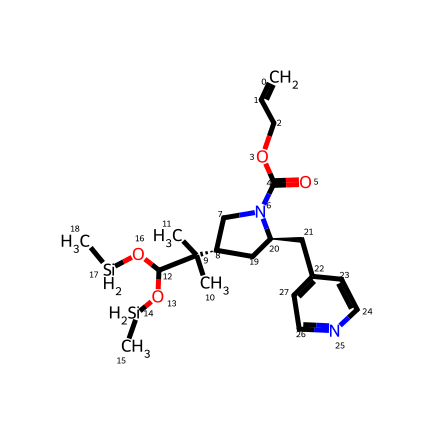 C=CCOC(=O)N1C[C@@H](C(C)(C)C(O[SiH2]C)O[SiH2]C)C[C@@H]1Cc1ccncc1